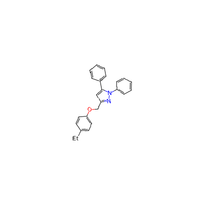 CCc1ccc(OCc2cc(-c3ccccc3)n(-c3ccccc3)n2)cc1